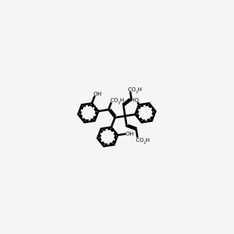 O=C(O)C=CC(C=CC(=O)O)(C(=C(C(=O)O)c1ccccc1O)c1ccccc1O)c1ccccc1O